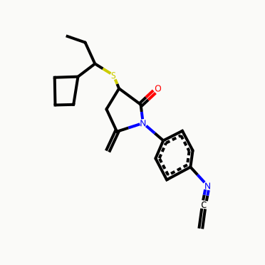 C=C=Nc1ccc(N2C(=C)CC(SC(CC)C3CCC3)C2=O)cc1